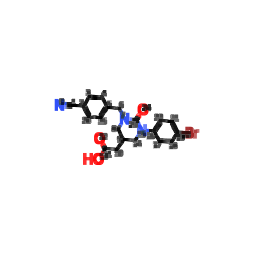 N#Cc1ccc(CN2CC(CC(=O)O)CN(c3ccc(Br)cc3)C2=O)cc1